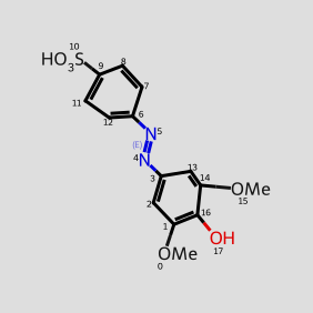 COc1cc(/N=N/c2ccc(S(=O)(=O)O)cc2)cc(OC)c1O